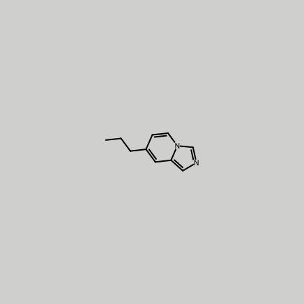 CCCc1ccn2cncc2c1